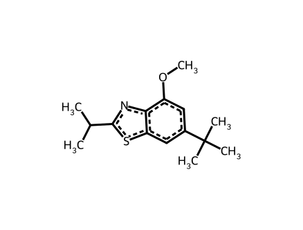 COc1cc(C(C)(C)C)cc2sc(C(C)C)nc12